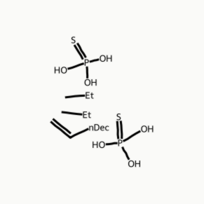 C=CCCCCCCCCCC.CCC.CCC.OP(O)(O)=S.OP(O)(O)=S